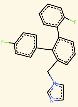 Fc1ccc(-c2c(Cn3ccnc3)cccc2-c2ccccc2F)cc1